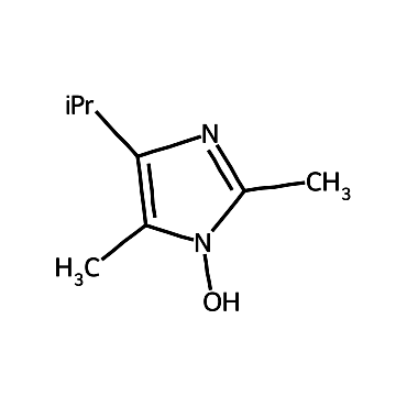 Cc1nc(C(C)C)c(C)n1O